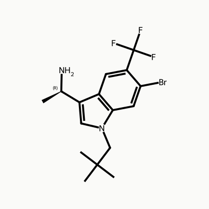 C[C@@H](N)c1cn(CC(C)(C)C)c2cc(Br)c(C(F)(F)F)cc12